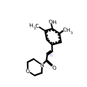 Cc1cc(/C=C/C(=O)N2CCOCC2)cc(C)c1O